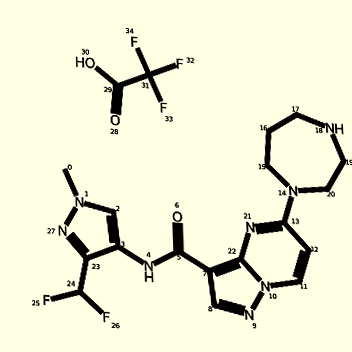 Cn1cc(NC(=O)c2cnn3ccc(N4CCCNCC4)nc23)c(C(F)F)n1.O=C(O)C(F)(F)F